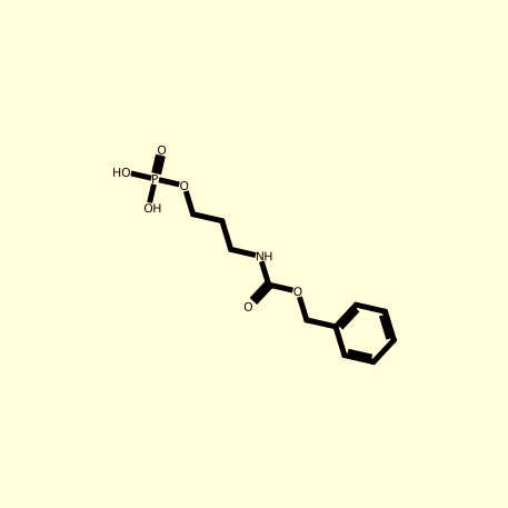 O=C(NCCCOP(=O)(O)O)OCc1ccccc1